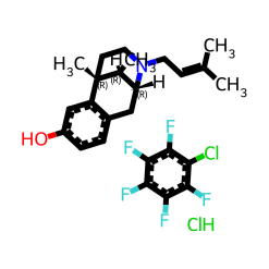 CC(C)=CCN1CC[C@@]2(C)c3cc(O)ccc3C[C@@H]1[C@@H]2C.Cl.Fc1c(F)c(F)c(Cl)c(F)c1F